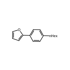 CCCCCCc1ccc(-c2ccco2)cc1